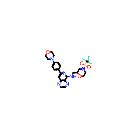 O=S(=O)(N1CCOC(CNc2nc(-c3ccc(N4CCOCC4)cc3)cc3nccnc23)C1)C(F)(F)F